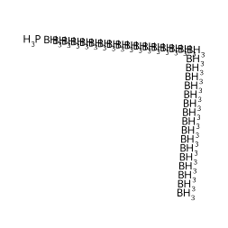 B.B.B.B.B.B.B.B.B.B.B.B.B.B.B.B.B.B.B.B.B.B.B.B.B.B.B.B.B.B.B.B.B.P